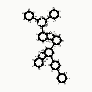 c1ccc(-c2ccc(-c3cc(-c4cccc5sc6c(-c7nc(-c8ccccc8)nc(-c8ccccc8)n7)cccc6c45)cc4oc5ccccc5c34)cc2)cc1